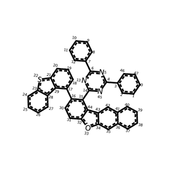 c1ccc(-c2nc(-c3ccccc3)nc(-c3c(-c4cccc5sc6ccccc6c45)ccc4oc5cc6ccccc6cc5c34)n2)cc1